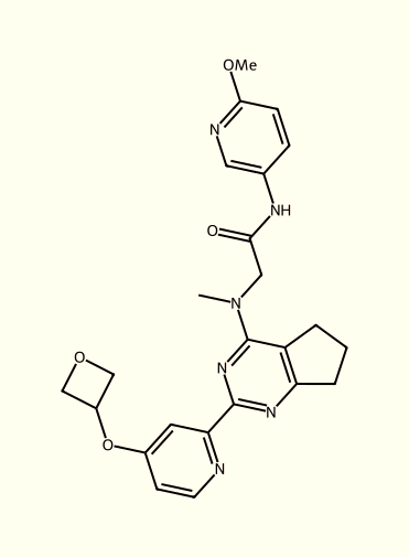 COc1ccc(NC(=O)CN(C)c2nc(-c3cc(OC4COC4)ccn3)nc3c2CCC3)cn1